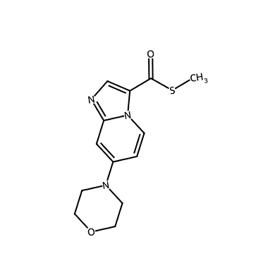 CSC(=O)c1cnc2cc(N3CCOCC3)ccn12